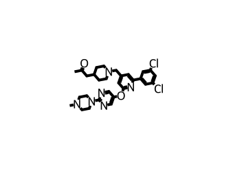 CC(=O)CC1CCN(Cc2cc(Oc3cnc(N4CCN(C)CC4)nc3)nc(-c3cc(Cl)cc(Cl)c3)c2)CC1